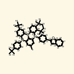 Cc1cc2c3c(c1)N(c1ccc(-c4cc5ccccc5o4)cc1)c1c(ccc4c1C(C)(C)CCC4(C)C)B3c1cc(C(C)(C)C)ccc1N2c1ccc(C(C)(C)C)cc1